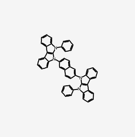 c1ccc(-n2c3ccccc3c3c4ccccc4n(-c4ccc5cc(-n6c7ccccc7c7c8ccccc8n(-c8ccccc8)c76)ccc5c4)c32)cc1